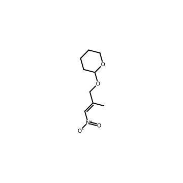 C/C(=C\[N+](=O)[O-])COC1CCCCO1